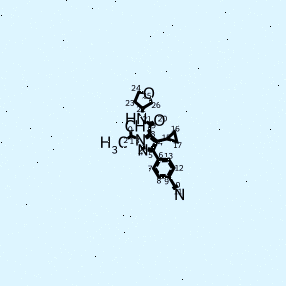 CC(C)n1nc(-c2ccc(C#N)cc2)c(C2CC2)c1C(=O)NC1CCOC1